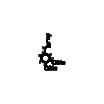 COc1ccc(CN=C=S)cc1OC